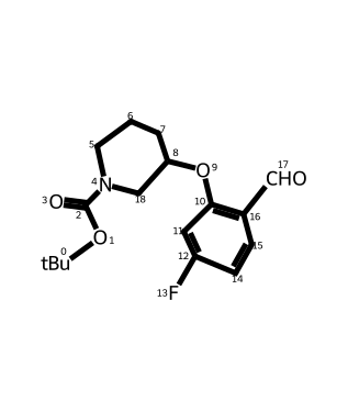 CC(C)(C)OC(=O)N1CCCC(Oc2cc(F)ccc2C=O)C1